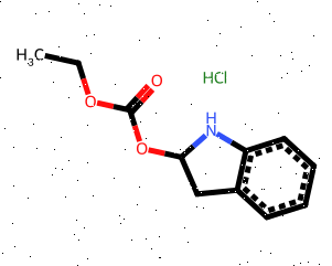 CCOC(=O)OC1Cc2ccccc2N1.Cl